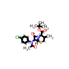 C=C1CS[C@@H]2C(N(C(C)=O)c3ccc(Cl)cc3)C(=O)N2C1C(=O)OC(C)(C)C